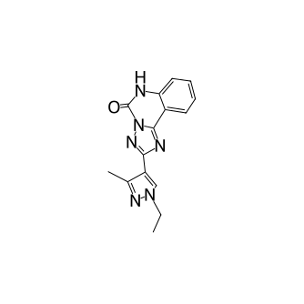 CCn1cc(-c2nc3c4ccccc4[nH]c(=O)n3n2)c(C)n1